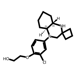 OCCOc1ccc(N2CC3(CCC3)N[C@H]3CCCC[C@@H]32)cc1Cl